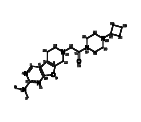 CN(C)c1ncc2c3c(oc2n1)CN(CC(=O)N1CCN(C2CCC2)CC1)CC3